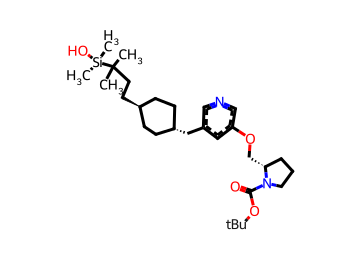 CC(C)(C)OC(=O)N1CCC[C@H]1COc1cncc(C[C@H]2CC[C@H](CCC(C)(C)[Si](C)(C)O)CC2)c1